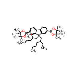 CCCCC(CC)C[Si]1(CC(CC)CCCC)c2cc(B3OC(C)(C)C(C)(C)O3)ccc2-c2ccc(B3OC(C)(C)C(C)(C)O3)cc21